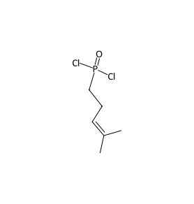 CC(C)=CCCP(=O)(Cl)Cl